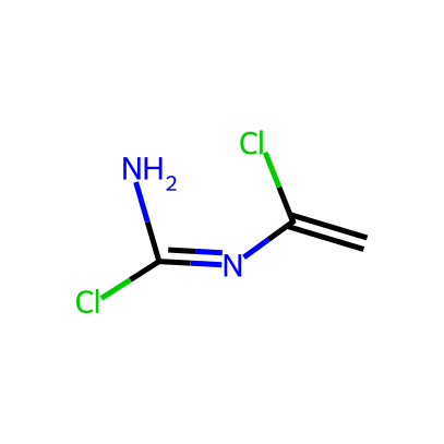 C=C(Cl)/N=C(\N)Cl